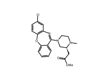 COC(=O)C[C@H]1CN(C2=Nc3cc(Cl)ccc3Oc3ccccc32)CCN1C